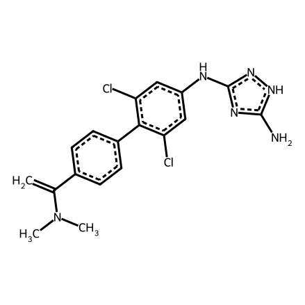 C=C(c1ccc(-c2c(Cl)cc(Nc3n[nH]c(N)n3)cc2Cl)cc1)N(C)C